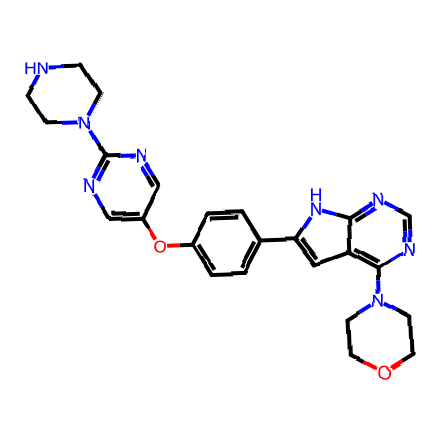 c1nc(N2CCOCC2)c2cc(-c3ccc(Oc4cnc(N5CCNCC5)nc4)cc3)[nH]c2n1